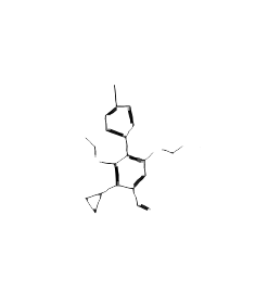 CCOc1cc(C=O)c(C2CC2)c(OCC)c1-c1ccc(F)cc1